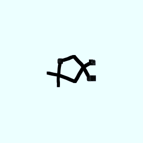 CCC1(O)COC(C)(C)C1